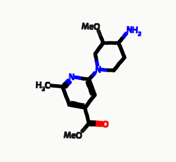 COC(=O)c1cc(C)nc(N2CCC(N)C(OC)C2)c1